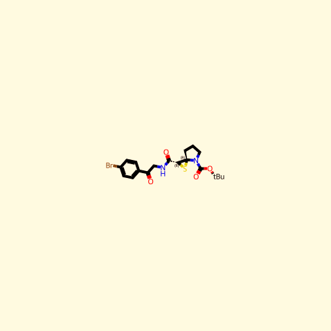 CC(C)(C)OC(=O)N1CCC[C@]12S[C@@H]2C(=O)NCC(=O)c1ccc(Br)cc1